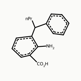 CCCC(c1ccccc1)c1cccc(C(=O)O)c1N